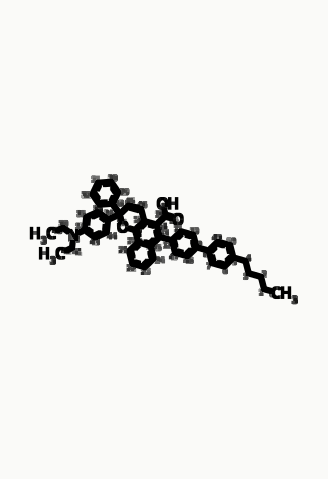 CCCCCc1ccc(-c2ccc(-c3c(C(=O)O)c4c(c5ccccc35)OC(c3ccccc3)(c3ccc(N(CC)CC)cc3)C=C4)cc2)cc1